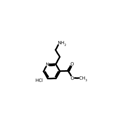 COC(=O)c1cccnc1CCN.Cl